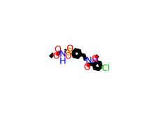 CCOC(=O)NCS(=O)(=O)c1ccc(CCNC(=O)c2ccc(Cl)cc2OC)cc1